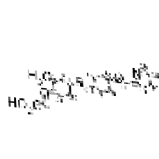 Cc1cc(SCc2ccc(OCc3ccccn3)cc2)ccc1OCC(=O)O